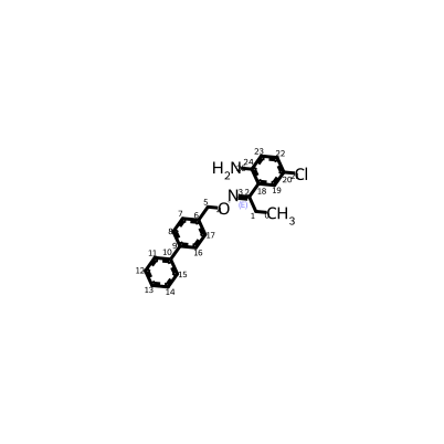 CC/C(=N\OCc1ccc(-c2ccccc2)cc1)c1cc(Cl)ccc1N